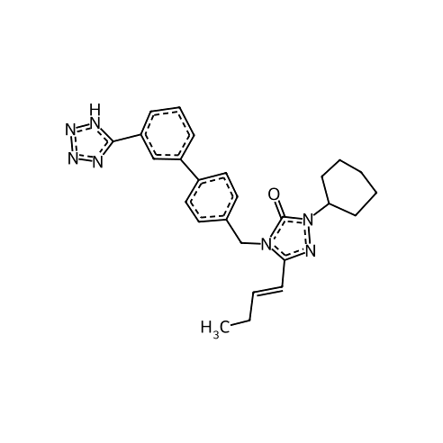 CC/C=C/c1nn(C2CCCCC2)c(=O)n1Cc1ccc(-c2cccc(-c3nnn[nH]3)c2)cc1